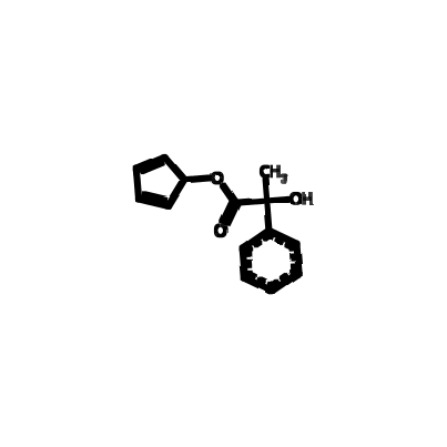 CC(O)(C(=O)OC1C=CC=C1)c1ccccc1